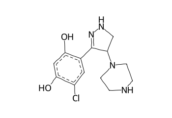 Oc1cc(O)c(C2=NNCC2N2CCNCC2)cc1Cl